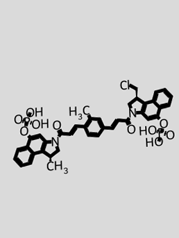 Cc1cc(/C=C/C(=O)N2C[C@@H](CCl)c3c2cc(OP(=O)(O)O)c2ccccc32)ccc1/C=C/C(=O)N1C[C@@H](C)c2c1cc(OP(=O)(O)O)c1ccccc21